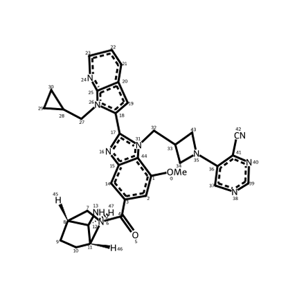 COc1cc(C(=O)N2C[C@H]3CC[C@@H]2[C@@H]3N)cc2nc(-c3cc4cccnc4n3CC3CC3)n(CC3CN(c4cncnc4C#N)C3)c12